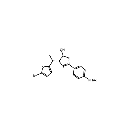 CC(=O)Nc1ccc(C2=NC(C(C)c3ccc(Br)s3)C(O)O2)cc1